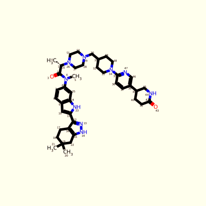 C[C@@H](C(=O)N(C)c1ccc2cc(-c3n[nH]c4c3CCC(C)(C)C4)[nH]c2c1)N1CCN(CC2CCN(c3ccc(C4CCC(=O)NC4)cn3)CC2)CC1